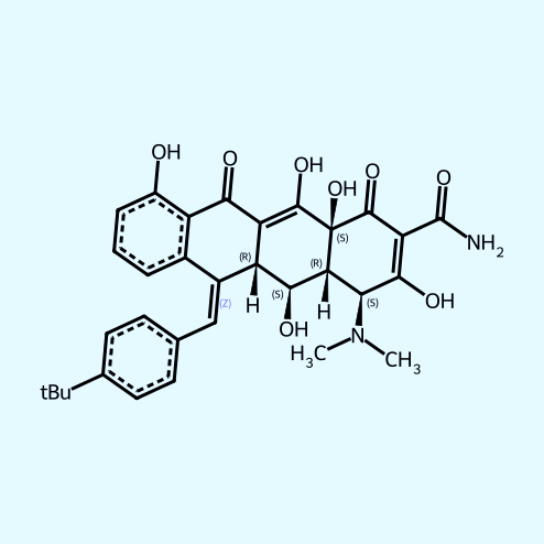 CN(C)[C@@H]1C(O)=C(C(N)=O)C(=O)[C@@]2(O)C(O)=C3C(=O)c4c(O)cccc4/C(=C\c4ccc(C(C)(C)C)cc4)[C@H]3[C@H](O)[C@@H]12